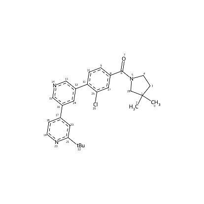 CC1(C)CCN(C(=O)c2ccc(-c3cncc(-c4ccnc(C(C)(C)C)c4)c3)c(Cl)c2)C1